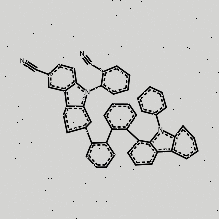 N#Cc1ccc2c(c1)c1ccc(-c3ccccc3-c3ccccc3-c3cccc4c5ccccc5n(-c5ccccc5)c34)cc1n2-c1ccccc1C#N